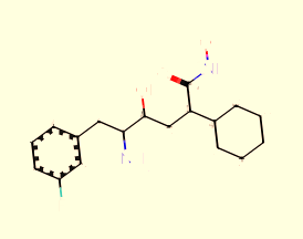 NC(Cc1cccc(F)c1)C(O)CC(C(=O)NO)C1CCCCC1